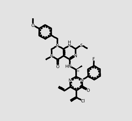 C=Cc1nc([C@H](C)NC2=NC(SC)NC3=C2C(=O)N(C)CN3Cc2ccc(OC)cc2)n(-c2cccc(F)c2)c(=O)c1C(=C)Cl